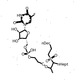 CCCCCCCCCCCCS(=O)(=O)C(CCCCCCC)C(C)OCCCOP(=O)(O)OC[C@H]1O[C@@H](n2cc(F)c(=O)[nH]c2=O)[C@H](O)[C@@H]1O